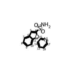 NS(=O)(=O)c1cc2ccccc2o1.c1ccncc1